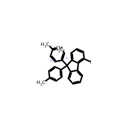 C=C(C)/C=C\C(=C/C)C1(c2ccc(C)cc2)c2ccccc2-c2c(I)cccc21